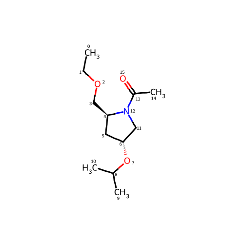 CCOC[C@@H]1C[C@@H](OC(C)C)CN1C(C)=O